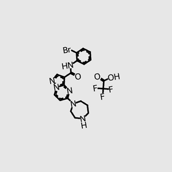 O=C(Nc1ccccc1Br)c1cnn2ccc(N3CCCNCC3)nc12.O=C(O)C(F)(F)F